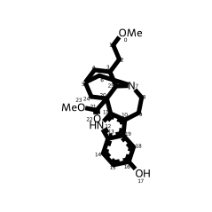 COCCC1CC2CN3CCc4c([nH]c5ccc(O)cc45)C(C(=O)OC)(C2)C13